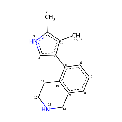 Cc1[nH]cc(-c2cccc3c2CCNC3)c1C